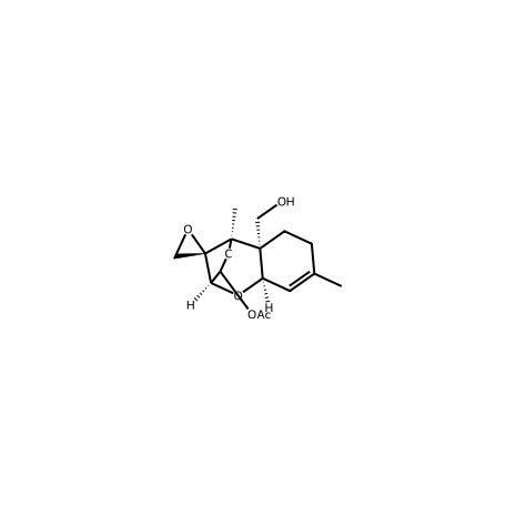 CC(=O)OC1C[C@]2(C)[C@@]3(CO)CCC(C)=C[C@H]3O[C@H]1[C@@]21CO1